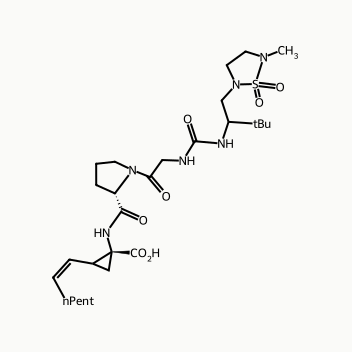 CCCCC/C=C\C1C[C@]1(NC(=O)[C@@H]1CCCN1C(=O)CNC(=O)NC(CN1CCN(C)S1(=O)=O)C(C)(C)C)C(=O)O